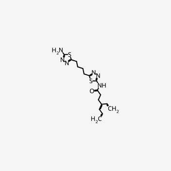 C=C/C=C(\C=C)CCC(=O)Nc1nnc(CCCCc2nnc(N)s2)s1